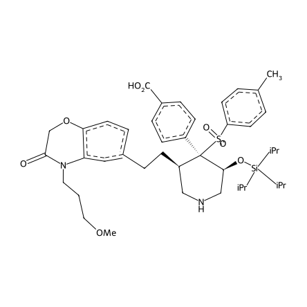 COCCCN1C(=O)COc2ccc(CC[C@@H]3CNC[C@H](O[Si](C(C)C)(C(C)C)C(C)C)[C@]3(c3ccc(C(=O)O)cc3)S(=O)(=O)c3ccc(C)cc3)cc21